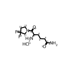 Cl.NC(=O)CCCC(N)C(=O)N1CCC(F)(F)C1